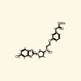 CCN(CCOc1cccc(CC(=O)OC)c1)C1CCN(c2nc3ccc(Cl)cc3s2)C1